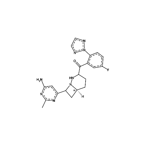 Cc1nc(N)cc(C2C[C@@H]3CCC(C(=O)c4cc(F)ccc4-n4nccn4)NN23)n1